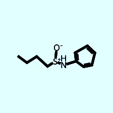 CCCC[S+]([O-])Nc1ccccc1